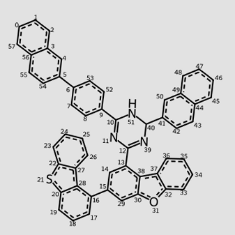 c1ccc2cc(-c3ccc(C4=NC(c5cc(-c6cccc7sc8ccccc8c67)cc6oc7ccccc7c56)=NC(c5ccc6ccccc6c5)N4)cc3)ccc2c1